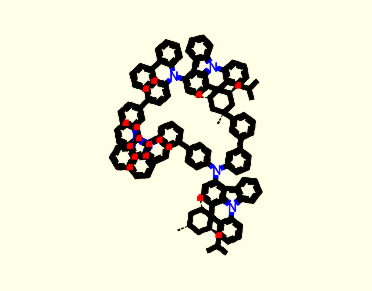 CC(C)C[C@H]1C[C@H](C)C[C@H](C)C12c1ccccc1-n1c3ccccc3c3c(N(c4ccc(-c5cccc(-n6c7ccccc7c7ccccc76)c5)cc4)c4cccc(-c5cccc([C@]6(C)C[C@H](CC(C)C)C7(c8ccccc8-n8c9ccccc9c9c(N(c%10ccc(-c%11cccc(-n%12c%13ccccc%13c%13ccccc%13%12)c%11)cc%10)c%10ccccc%10-c%10ccccc%10)ccc7c98)[C@@H](C)C6)c5)c4)ccc2c31